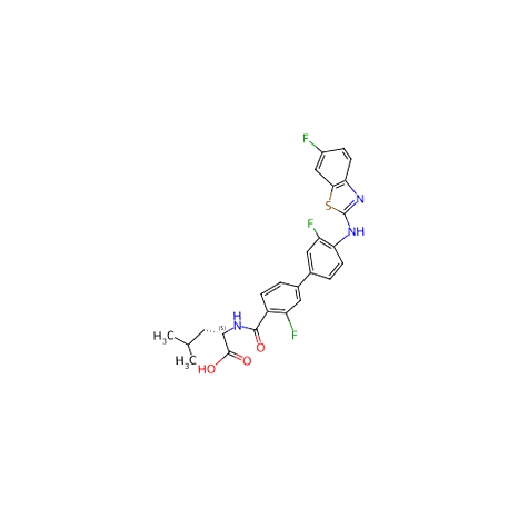 CC(C)C[C@H](NC(=O)c1ccc(-c2ccc(Nc3nc4ccc(F)cc4s3)c(F)c2)cc1F)C(=O)O